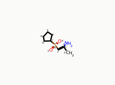 CC(N)=CS(=O)(=O)C1CCCC1